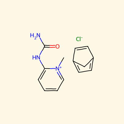 C1=CC2=CC=C1C2.C[n+]1ccccc1NC(N)=O.[Cl-]